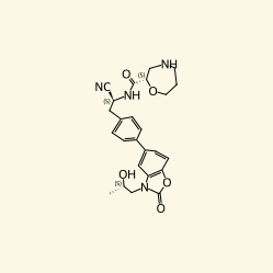 C[C@H](O)Cn1c(=O)oc2ccc(-c3ccc(C[C@@H](C#N)NC(=O)[C@@H]4CNCCCO4)cc3)cc21